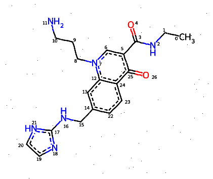 CCNC(=O)c1cn(CCCN)c2cc(CNc3ncc[nH]3)ccc2c1=O